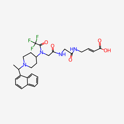 CC(c1cccc2ccccc12)N1CCC(N(CC(=O)NCC(=O)NC/C=C/C(=O)O)C(=O)C(F)(F)F)CC1